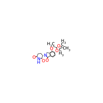 C[C@H](Oc1cccc2c1CN([C@H]1CCC(=O)NC1=O)C2=O)C(=O)OC(C)(C)C